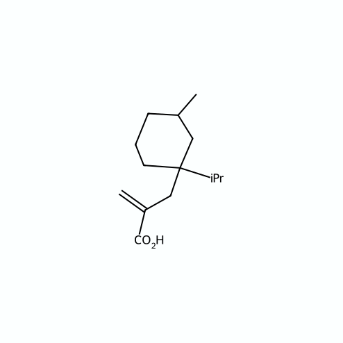 C=C(CC1(C(C)C)CCCC(C)C1)C(=O)O